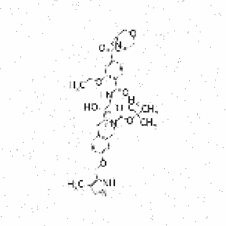 CCOc1cc(C(=O)N2C3CCC2COC3)ccc1C(=O)NC[C@@H](O)[C@@H]1Cc2ccc(OCc3[nH]ncc3C)cc2CN1C(=O)OC(C)(C)C